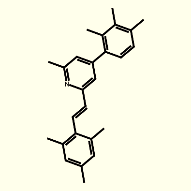 Cc1cc(C)c(C=Cc2cc(-c3ccc(C)c(C)c3C)cc(C)n2)c(C)c1